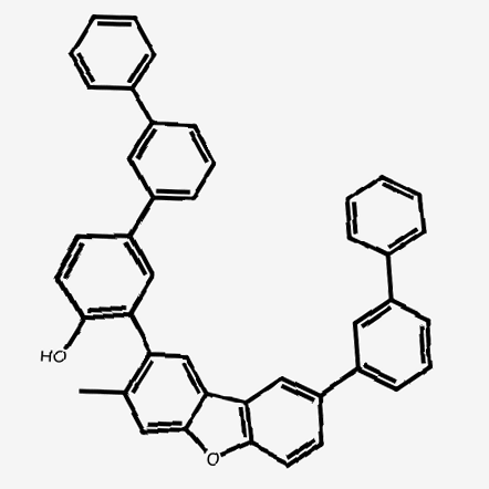 Cc1cc2oc3ccc(-c4cccc(-c5ccccc5)c4)cc3c2cc1-c1cc(-c2cccc(-c3ccccc3)c2)ccc1O